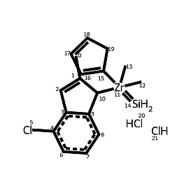 CC1=Cc2c(Cl)cccc2[CH]1[Zr]([CH3])([CH3])(=[SiH2])[C]1=CC=CC1.Cl.Cl